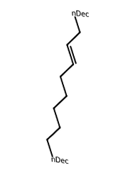 CCCCCCCCCCCC=CCCCCCCCCCCCCCCC